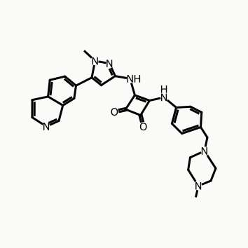 CN1CCN(Cc2ccc(Nc3c(Nc4cc(-c5ccc6ccncc6c5)n(C)n4)c(=O)c3=O)cc2)CC1